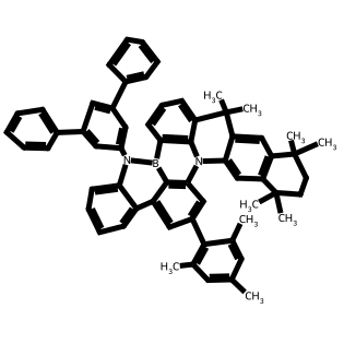 Cc1cc(C)c(-c2cc3c4c(c2)N2c5cc6c(cc5C(C)(C)c5cccc(c52)B4N(c2cc(-c4ccccc4)cc(-c4ccccc4)c2)c2ccccc2-3)C(C)(C)CCC6(C)C)c(C)c1